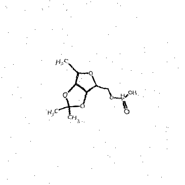 CC1OC(CO[PH](=O)O)C2OC(C)(C)OC12